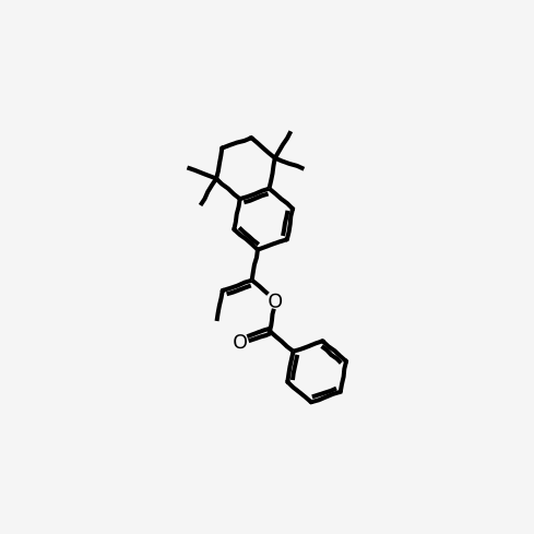 CC=C(OC(=O)c1ccccc1)c1ccc2c(c1)C(C)(C)CCC2(C)C